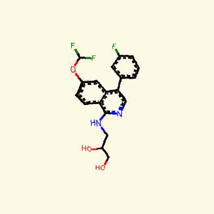 OCC(O)CNc1ncc(-c2cccc(F)c2)c2cc(OC(F)F)ccc12